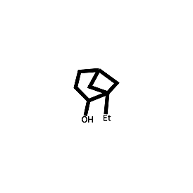 CCC12CC(CCC1O)C2